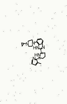 Cc1cccnc1[C@@H]1CCC[C@H](c2nc3cccc(N4CCN(C5CC5)CC4)c3[nH]2)N1